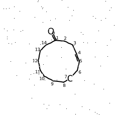 O=C1CCC=CCCCCCCCCC1